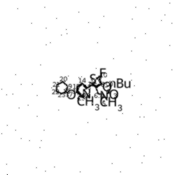 CCCCOC(=O)N(C)Cc1cc(F)sc1-c1ccc(OC2CCCCC2)c(C)n1